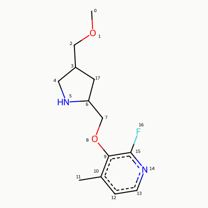 COCC1CNC(COc2c(C)ccnc2F)C1